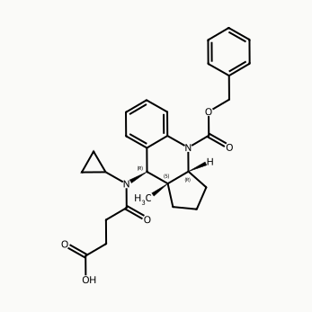 C[C@]12CCC[C@H]1N(C(=O)OCc1ccccc1)c1ccccc1[C@@H]2N(C(=O)CCC(=O)O)C1CC1